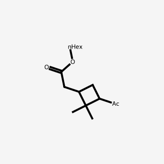 CCCCCCOC(=O)CC1CC(C(C)=O)C1(C)C